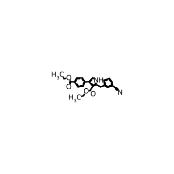 CCOC(=O)c1ccc(-c2c[nH]c(Cc3cccc(C#N)c3)c2C(=O)OCC)cc1